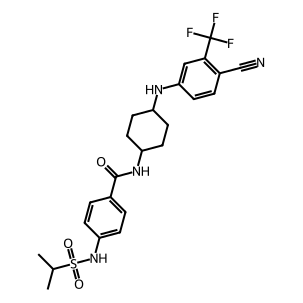 CC(C)S(=O)(=O)Nc1ccc(C(=O)NC2CCC(Nc3ccc(C#N)c(C(F)(F)F)c3)CC2)cc1